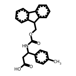 Cc1ccc(C(CC(=O)O)NC(=O)OCC2c3ccccc3-c3ccccc32)cc1